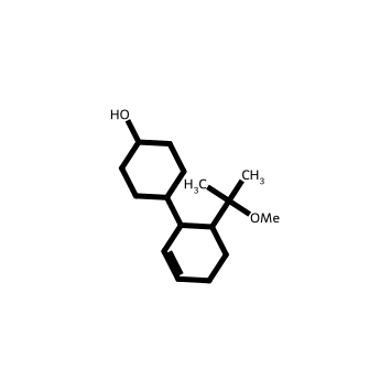 COC(C)(C)C1CCC=CC1C1CCC(O)CC1